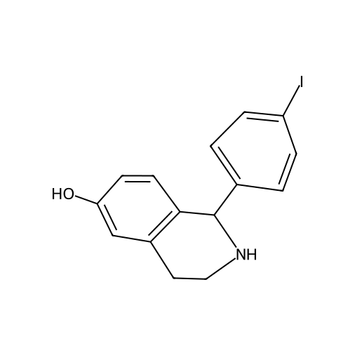 Oc1ccc2c(c1)CCNC2c1ccc(I)cc1